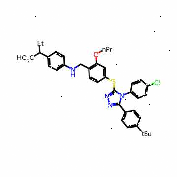 CCCOc1cc(Sc2nnc(-c3ccc(C(C)(C)C)cc3)n2-c2ccc(Cl)cc2)ccc1CNc1ccc(C(CC)C(=O)O)cc1